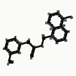 CCC(C)c1cccc(OC(=O)COc2cccc3c(C)cccc23)c1